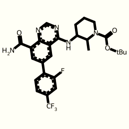 CC1C(Nc2ncnc3c(C(N)=O)cc(-c4ccc(C(F)(F)F)cc4F)cc23)CCCN1C(=O)OC(C)(C)C